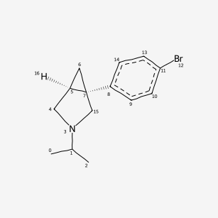 CC(C)N1C[C@H]2C[C@@]2(c2ccc(Br)cc2)C1